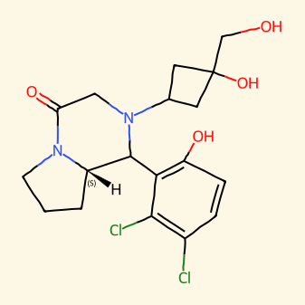 O=C1CN(C2CC(O)(CO)C2)C(c2c(O)ccc(Cl)c2Cl)[C@@H]2CCCN12